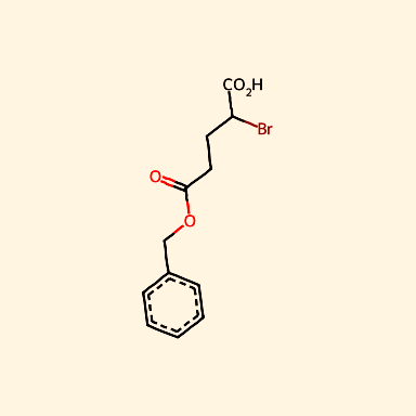 O=C(CCC(Br)C(=O)O)OCc1ccccc1